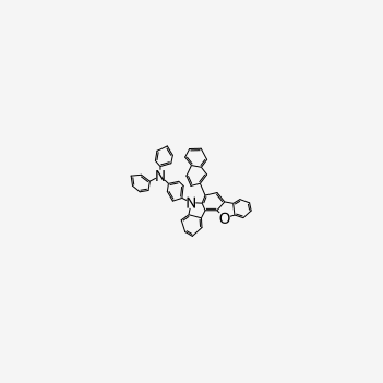 c1ccc(N(c2ccccc2)c2ccc(-n3c4ccccc4c4c5oc6ccccc6c5cc(-c5ccc6ccccc6c5)c43)cc2)cc1